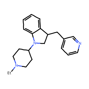 CCN1CCC(N2CC(Cc3cccnc3)c3ccccc32)CC1